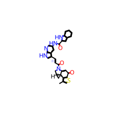 Cc1csc2c1[C@]13C[C@H]1CN(C(=O)/C=C/c1c[nH]c4ncc(NC(=O)c5cc6ccccc6[nH]5)cc14)C3=CC2=O